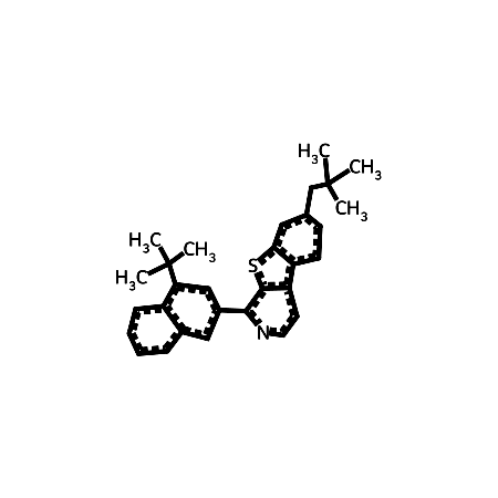 CC(C)(C)Cc1ccc2c(c1)sc1c(-c3cc(C(C)(C)C)c4ccccc4c3)nccc12